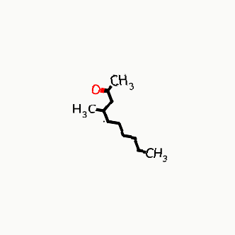 CCCCC[CH]C(C)CC(C)=O